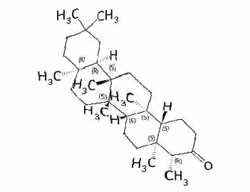 C[C@H]1C(=O)CC[C@@H]2[C@]1(C)CC[C@H]1[C@@]2(C)CC[C@@]2(C)[C@@H]3CC(C)(C)CC[C@]3(C)CC[C@@]12C